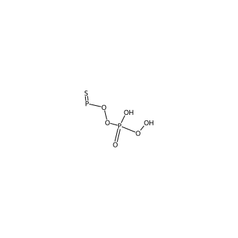 O=P(O)(OO)OOP=S